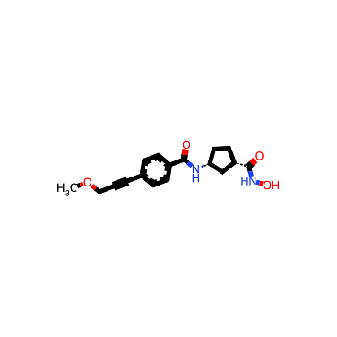 COCC#Cc1ccc(C(=O)N[C@@H]2CC[C@H](C(=O)NO)C2)cc1